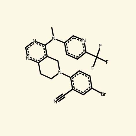 CN(c1ccc(C(F)(F)F)nc1)c1ncnc2c1CN(c1ccc(Br)cc1C#N)CC2